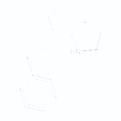 O=S(=O)(Cc1ccccc1)C(O)[C@@H]1CCCN1